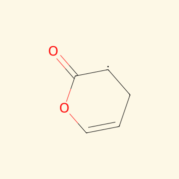 O=C1[CH]CC=CO1